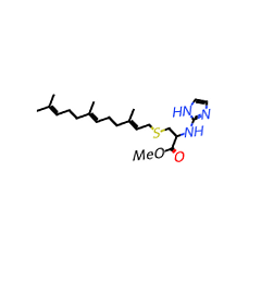 COC(=O)C(CSC/C=C(\C)CC/C=C(\C)CCC=C(C)C)Nc1ncc[nH]1